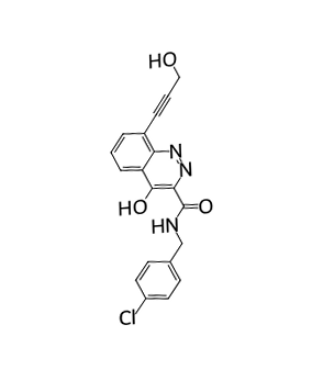 O=C(NCc1ccc(Cl)cc1)c1nnc2c(C#CCO)cccc2c1O